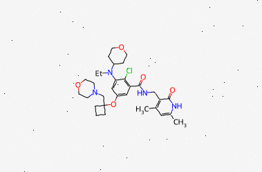 CCN(c1cc(OC2(CN3CCOCC3)CCC2)cc(C(=O)NCc2c(C)cc(C)[nH]c2=O)c1Cl)C1CCOCC1